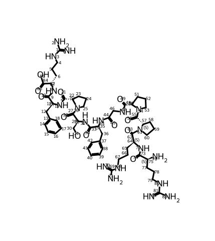 N=C(N)NCCC[C@H](NC(=O)[C@H](Cc1ccccc1)NC(=O)[C@@H]1CCCN1C(=O)[C@H](CO)NC(=O)[C@H](Cc1ccccc1)NC(=O)CNC(=O)[C@@H]1CCCN1C(=O)[C@@H]1CCCN1C(=O)[C@H](CCCNC(=N)N)NC(=O)[C@@H](N)CCCNC(=N)N)C(=O)O